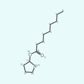 CCCCCCCCC(=O)OC1CCC[N]1